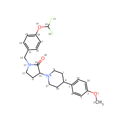 COc1ccc(C2CCN(C3CCN(Cc4ccc(OC(F)F)cc4)C3=O)CC2)cc1